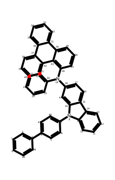 c1ccc(-c2ccc(-n3c4ccccc4c4ccc(N(c5ccccc5)c5cccc6c7ccccc7c7ccccc7c56)cc43)cc2)cc1